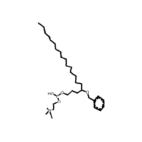 CCCCCCCCCCCCCCCCC(CCCOP(O)OCC[N+](C)(C)C)OCc1ccccc1